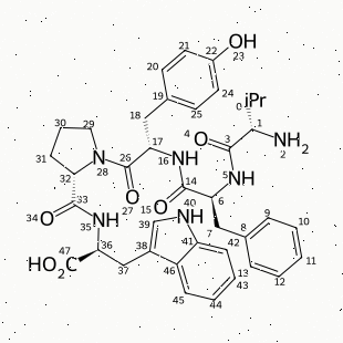 CC(C)[C@H](N)C(=O)N[C@@H](Cc1ccccc1)C(=O)N[C@@H](Cc1ccc(O)cc1)C(=O)N1CCC[C@H]1C(=O)N[C@@H](Cc1c[nH]c2ccccc12)C(=O)O